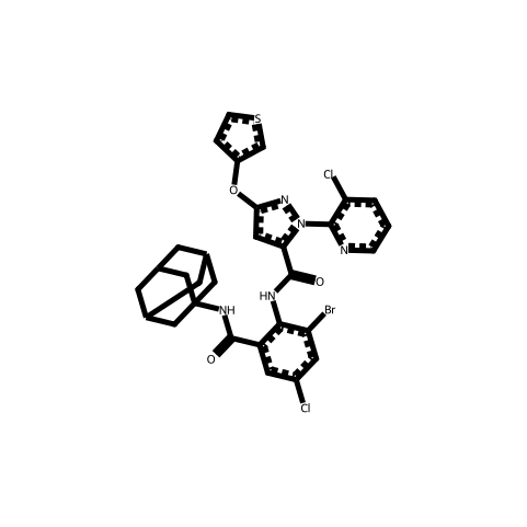 O=C(NC12CC3CC(CC(C3)C1)C2)c1cc(Cl)cc(Br)c1NC(=O)c1cc(Oc2ccsc2)nn1-c1ncccc1Cl